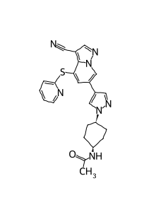 CC(=O)N[C@H]1CC[C@@H](n2cc(-c3cc(Sc4ccccn4)c4c(C#N)cnn4c3)cn2)CC1